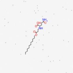 CCCCCCCCCCCCOC(=O)CCNC(CCC(N)=O)C(=O)O